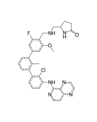 COc1cc(-c2cccc(-c3cccc(Nc4nccc5nccnc45)c3Cl)c2C)cc(F)c1CNCC1CCC(=O)N1